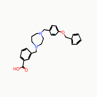 O=C(O)c1cccc(CN2CCCN(Cc3ccc(OCc4ccccc4)cc3)CC2)c1